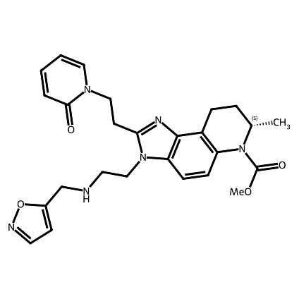 COC(=O)N1c2ccc3c(nc(CCn4ccccc4=O)n3CCNCc3ccno3)c2CC[C@@H]1C